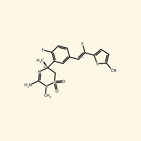 CN1C(N)=N[C@](C)(c2cc(/C=C(\F)c3ccc(C#N)s3)ccc2F)CS1(=O)=O